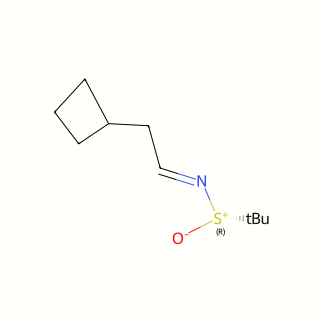 CC(C)(C)[S@+]([O-])N=CCC1CCC1